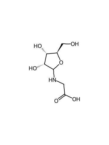 O=C(O)CNC1O[C@H](CO)[C@@H](O)[C@H]1O